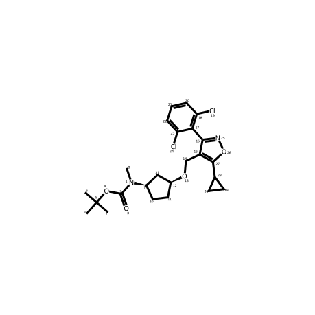 CN(C(=O)OC(C)(C)C)[C@@H]1CC[C@H](OCc2c(-c3c(Cl)cccc3Cl)noc2C2CC2)C1